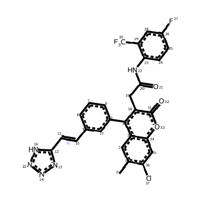 Cc1cc2c(-c3cccc(/C=C/c4nnn[nH]4)c3)c(CC(=O)Nc3ccc(F)cc3C(F)(F)F)c(=O)oc2cc1Cl